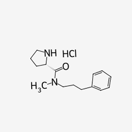 CN(CCCc1ccccc1)C(=O)[C@@H]1CCCN1.Cl